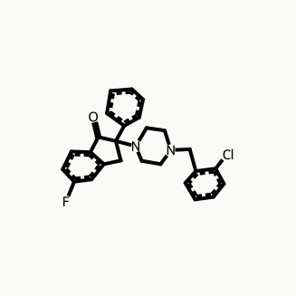 O=C1c2ccc(F)cc2CC1(c1ccccc1)N1CCN(Cc2ccccc2Cl)CC1